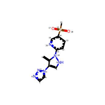 C=C1C(n2ccnn2)=CNN1c1ccc(S(C)(=O)=O)cn1